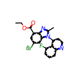 CCOC(=O)c1cc(Br)cc2c1nc(C)n2-c1ccnc2cccc(F)c12